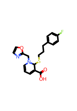 O=C(O)C1=CC=CN(Cc2ncco2)C1SCCCc1ccc(F)cc1